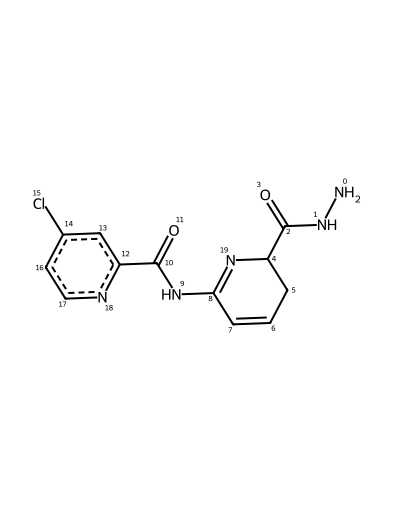 NNC(=O)C1CC=CC(NC(=O)c2cc(Cl)ccn2)=N1